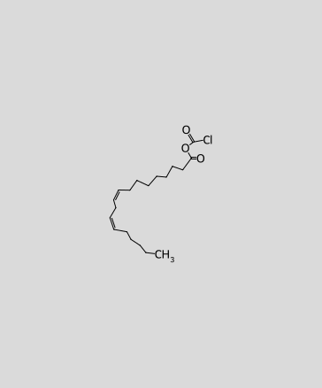 CCCCC/C=C\C/C=C\CCCCCCCC(=O)OC(=O)Cl